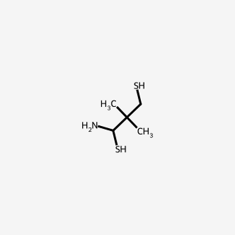 CC(C)(CS)C(N)S